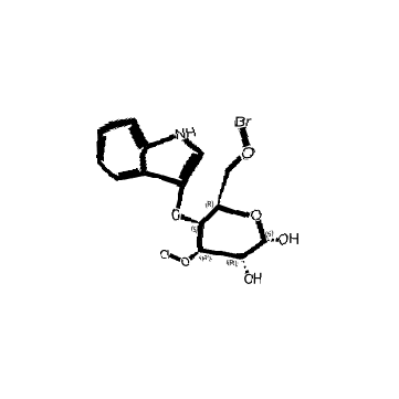 O[C@@H]1[C@@H](OCl)[C@@H](Oc2c[nH]c3ccccc23)[C@@H](COBr)O[C@@H]1O